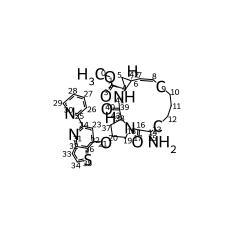 COC(=O)[C@@]12C[C@H]1/C=C\CCCCC[C@H](N)C(=O)N1C[C@H](Oc3cc(-c4ccccn4)nc4ccsc34)C[C@H]1C(=O)N2